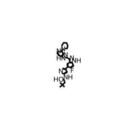 CC(C)(C)CC(O)Nc1cncc(-c2cc3c(-c4nc5c(N6CCCCC6)nccc5[nH]4)n[nH]c3cc2F)c1